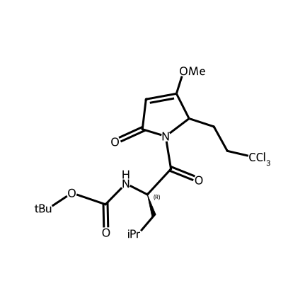 COC1=CC(=O)N(C(=O)[C@@H](CC(C)C)NC(=O)OC(C)(C)C)C1CCC(Cl)(Cl)Cl